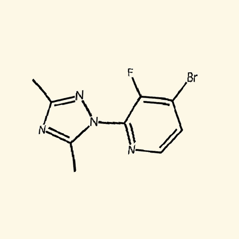 Cc1nc(C)n(-c2nccc(Br)c2F)n1